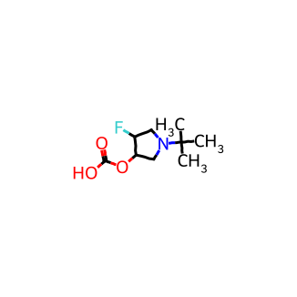 CC(C)(C)N1CC(F)C(OC(=O)O)C1